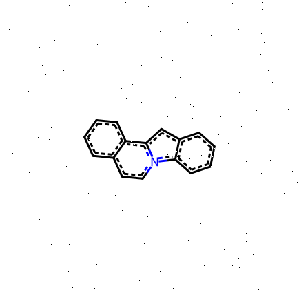 c1ccc2c(c1)ccn1c3ccccc3cc21